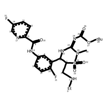 CCNCC1C(c2cc(NC(=O)c3ccc(F)cn3)ccc2F)NC(=NC(=O)OC(C)(C)C)N(C)S1(=O)=O